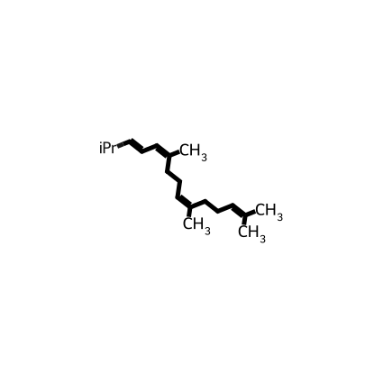 CC(C)=CCCC(C)=CCCC(C)=CC=CC(C)C